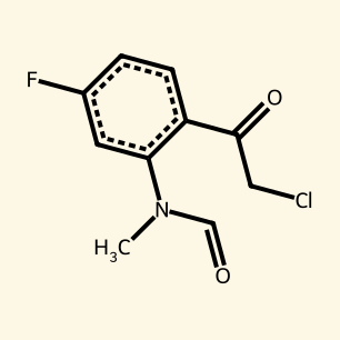 CN(C=O)c1cc(F)ccc1C(=O)CCl